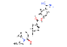 C/C(=C\c1ccc(C(=O)Oc2ccc(C(=N)N)cc2)cc1)C(=O)N(CC(=O)O)C1CC1